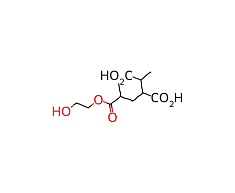 CC(CC(C(=O)O)C(C)C(=O)O)C(=O)OCCO